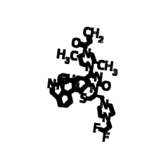 C=CC(=O)N1C[C@H](C)N(c2nc(=O)n3c4c(c(-c5cccc6cnn(C)c56)c(Cl)cc24)SC[C@@H]3CN2CCN(CC(F)F)CC2)C[C@H]1C